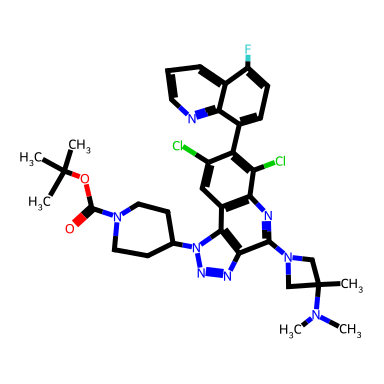 CN(C)C1(C)CN(c2nc3c(Cl)c(-c4ccc(F)c5cccnc45)c(Cl)cc3c3c2nnn3C2CCN(C(=O)OC(C)(C)C)CC2)C1